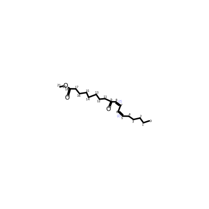 CCCCC/C=C\C=C/C(=O)CCCCCCCC(=O)OC